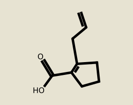 C=CCC1=C(C(=O)O)CCC1